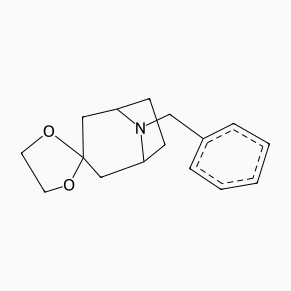 c1ccc(CN2C3CCC2CC2(C3)OCCO2)cc1